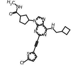 CNC(=O)C1CCC(n2cnc3c(NCC4CCC4)nc(C#Cc4ccc(Cl)s4)nc32)C1